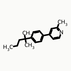 CCCC(C)(C)c1ccc(-c2ccnc(C)c2)cc1